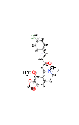 COc1c2c(cc3c1C(CC(=O)/C=C/c1ccc(Cl)cc1)N(C)CC3)OCO2